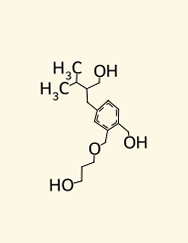 CC(C)C(CO)Cc1ccc(CO)c(COCCCO)c1